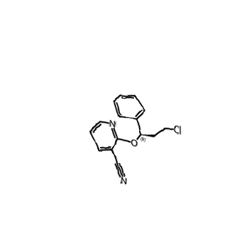 N#Cc1cccnc1O[C@H](CCCl)c1ccccc1